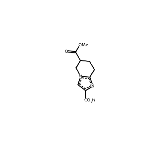 COC(=O)C1CCc2nc(C(=O)O)cn2C1